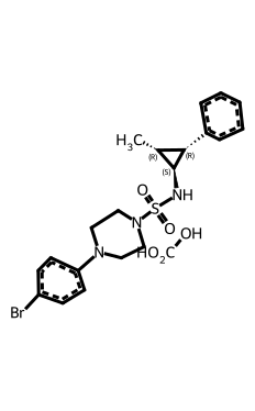 C[C@H]1[C@H](NS(=O)(=O)N2CCN(c3ccc(Br)cc3)CC2)[C@H]1c1ccccc1.O=C(O)O